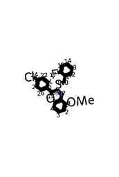 COc1ccccc1/C=C(/SCc1ccccc1F)C(=O)c1ccc(Cl)cc1